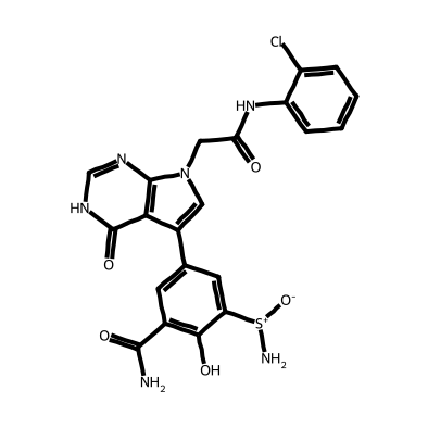 NC(=O)c1cc(-c2cn(CC(=O)Nc3ccccc3Cl)c3nc[nH]c(=O)c23)cc([S+](N)[O-])c1O